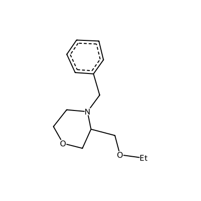 CCOCC1COCCN1Cc1ccccc1